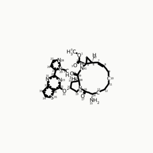 COC(=O)[C@@]12C[C@H]1/C=C\CCCCC[C@H](N)C(=O)N1C[C@H](Oc3nc(-c4ccnn4C)nc4ccsc34)C[C@H]1C(=O)N2